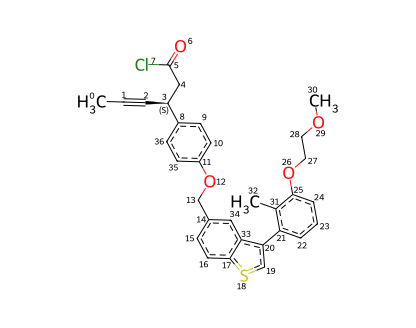 CC#C[C@@H](CC(=O)Cl)c1ccc(OCc2ccc3scc(-c4cccc(OCCOC)c4C)c3c2)cc1